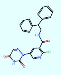 O=C(NCC(c1ccccc1)c1ccccc1)c1cc(-n2ncc(=O)[nH]c2=O)cnc1Cl